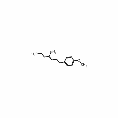 CCCC(N)CCCc1ccc(OC)cc1